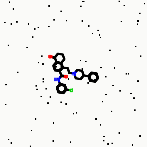 O=C1CCCc2c1ccc(C(=O)Nc1cccc(Cl)c1)c2CCN1CCC(c2ccccc2)CC1